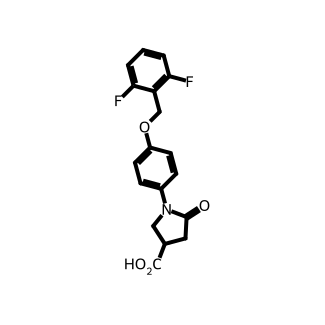 O=C(O)C1CC(=O)N(c2ccc(OCc3c(F)cccc3F)cc2)C1